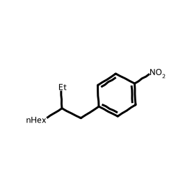 CCCCCCC(CC)Cc1ccc([N+](=O)[O-])cc1